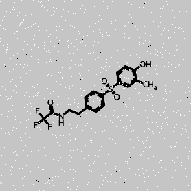 Cc1cc(S(=O)(=O)c2ccc(CCNC(=O)C(F)(F)F)cc2)ccc1O